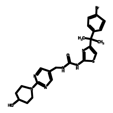 CC(C)(c1ccc(Br)cc1)c1csc(NC(=O)NCc2cnc(N3CCC(O)CC3)nc2)n1